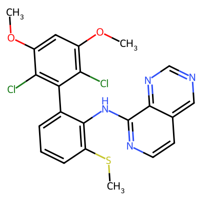 COc1cc(OC)c(Cl)c(-c2cccc(SC)c2Nc2nccc3cncnc23)c1Cl